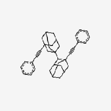 C(#CC12CC3CC(C1)CC(C1C4CC5CC(C4)CC1(C#Cc1ccccc1)C5)(C3)C2)c1ccccc1